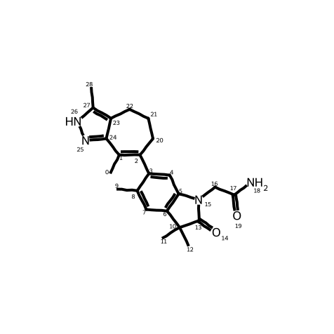 CC1=C(c2cc3c(cc2C)C(C)(C)C(=O)N3CC(N)=O)CCCc2c1n[nH]c2C